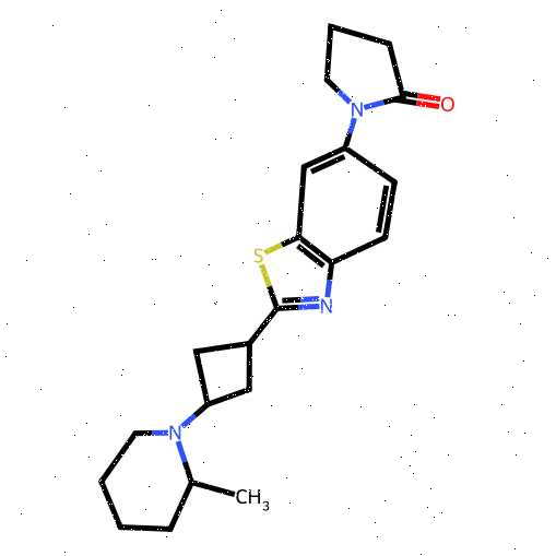 CC1CCCCN1C1CC(c2nc3ccc(N4CCCC4=O)cc3s2)C1